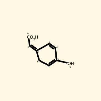 O=C(O)C=C1C=CC(O)=CC1